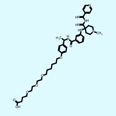 CC(NC(=O)c1cccc(NC2(C(=N)NC(=N)c3ccncc3)CCN(C)CC2)c1)c1ccc(OCCCCCCOCCOCCOCCCC(=O)O)cc1